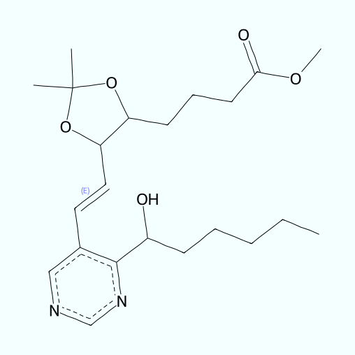 CCCCCC(O)c1ncncc1/C=C/C1OC(C)(C)OC1CCCC(=O)OC